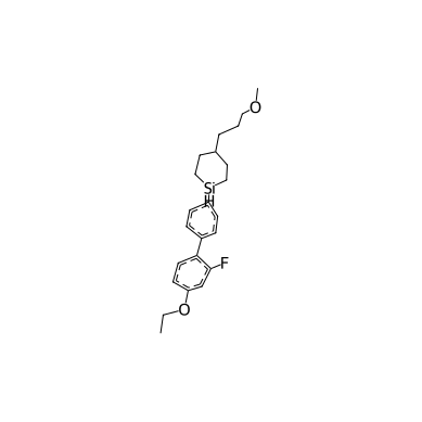 CCOc1ccc(-c2ccc([SiH]3CCC(CCCOC)CC3)cc2)c(F)c1